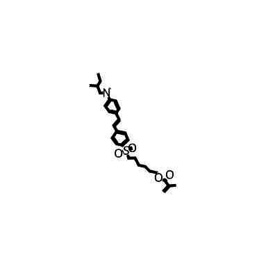 C=C(C)C(=O)OCCCCCCS(=O)(=O)c1ccc(/C=C/c2ccc(N(C)CC(C)CC)cc2)cc1